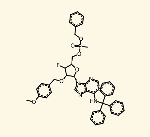 COc1ccc(CO[C@H]2C(F)[C@@H](COP(C)(=O)OCc3ccccc3)O[C@H]2n2cnc3c(NC(c4ccccc4)(c4ccccc4)c4ccccc4)ncnc32)cc1